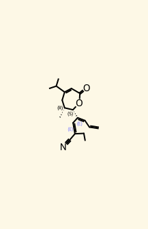 C=C/C=C(\C=C(\C#N)CC)[C@H]1OC(=O)C=C(C(C)C)C[C@H]1C